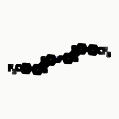 FC(F)(F)c1ccc(-c2ccc3sc4c5cc(/C=C/c6ccc7sc8c9cc(-c%10ccc(C(F)(F)F)cc%10)ccc9sc8c7c6)ccc5sc4c3c2)cc1